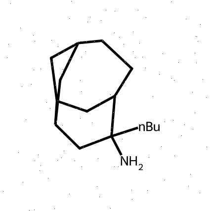 CCCCC1(N)CC2CC3CCC1CC2C3